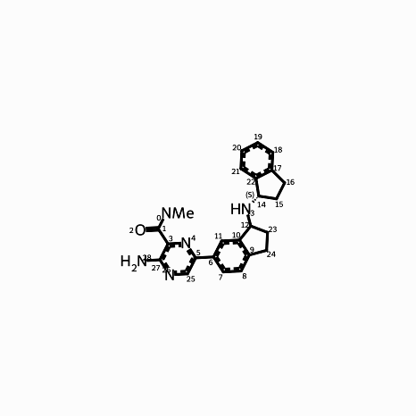 CNC(=O)c1nc(-c2ccc3c(c2)C(N[C@H]2CCc4ccccc42)CC3)cnc1N